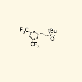 CC(C)(C)C1(CCc2cc(C(F)(F)F)cc(C(F)(F)F)c2)CO1